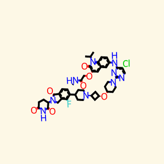 CNC(=O)COc1cc2cc(Nc3nc(N4CCC(O[C@H]5C[C@H](N6CCC(c7ccc8c(c7F)CN(C7CCC(=O)NC7=O)C8=O)CC6)C5)CC4)ncc3Cl)ccc2n(C(C)C)c1=O